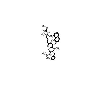 CN(C)NC(=O)[C@@H](Cc1cccs1)N(C)C(=O)[C@@H](Cc1ccc2ccccc2c1)N(C)C(=O)/C=C/CC(C)(C)NC(=O)OC(C)(C)C